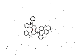 CC1(C)CCC(C)(C)c2cc3c(cc21)-c1c(N(c2ccc4c(c2)C(C)(C)c2ccccc2-4)c2ccccc2-c2ccc4c5ccccc5n(-c5ccccc5)c4c2)cccc1C3(C)C